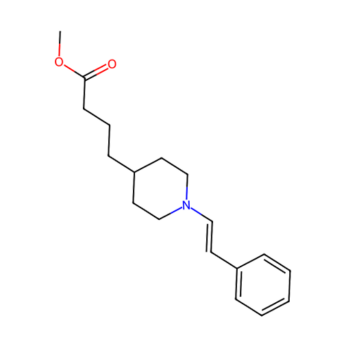 COC(=O)CCCC1CCN(C=Cc2ccccc2)CC1